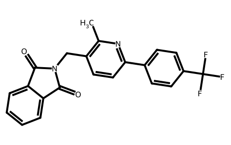 Cc1nc(-c2ccc(C(F)(F)F)cc2)ccc1CN1C(=O)c2ccccc2C1=O